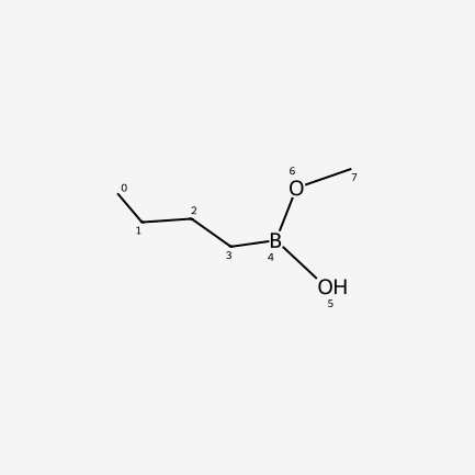 CCCCB(O)OC